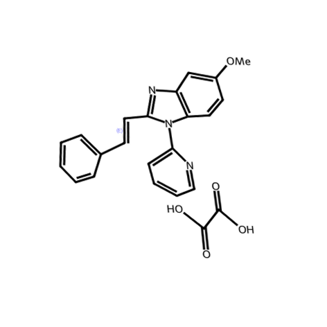 COc1ccc2c(c1)nc(/C=C/c1ccccc1)n2-c1ccccn1.O=C(O)C(=O)O